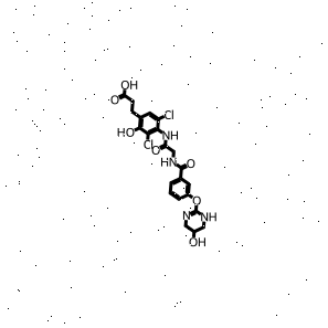 O=C(O)CCc1cc(Cl)c(NC(=O)CNC(=O)c2cccc(OC3=NCC(O)CN3)c2)c(Cl)c1O